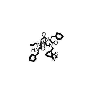 C=CCN(C(=O)NCc1ccccc1)N1CC(=O)N2[C@@H](Cc3ccccc3)C(=O)N(Cc3cccc4ncsc34)C[C@@H]21